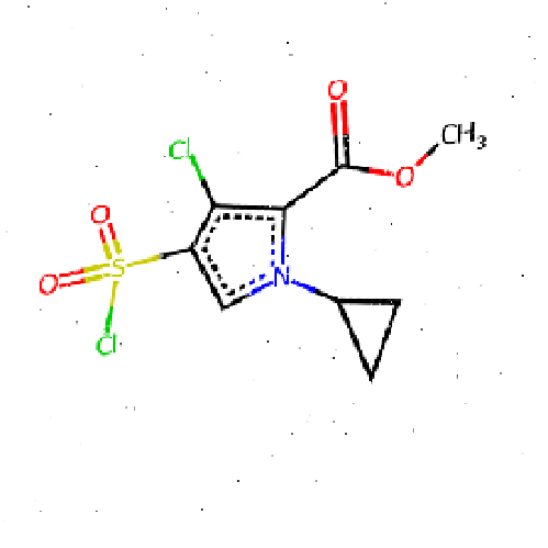 COC(=O)c1c(Cl)c(S(=O)(=O)Cl)cn1C1CC1